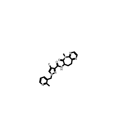 Cc1ncccc1Cn1cc(F)c(C(=O)NC2CCc3nccnc3N(C)C2=O)n1